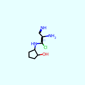 N=C/C(N)=C(/Cl)NC1CCCC1O